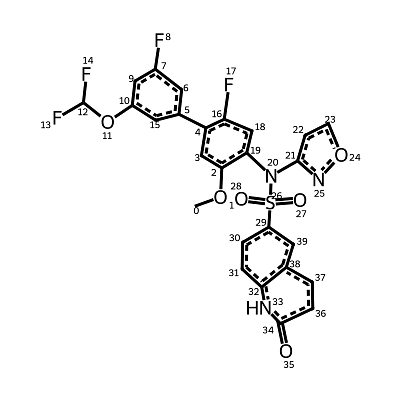 COc1cc(-c2cc(F)cc(OC(F)F)c2)c(F)cc1N(c1ccon1)S(=O)(=O)c1ccc2[nH]c(=O)ccc2c1